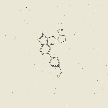 CC(C)(C)[C@@]1(Cn2c(=O)oc3ccc(-c4ccc(OC(F)(F)F)cc4)cc32)CCCN1C(=O)O